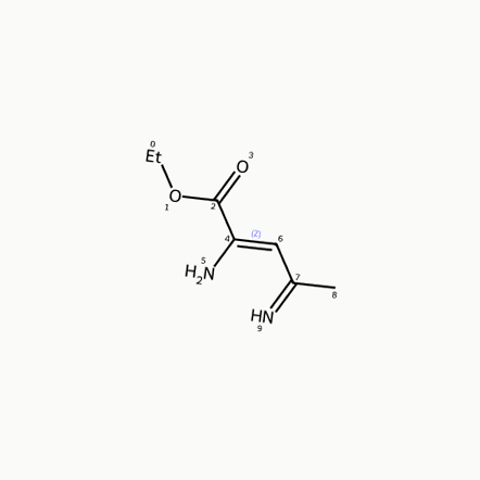 CCOC(=O)/C(N)=C/C(C)=N